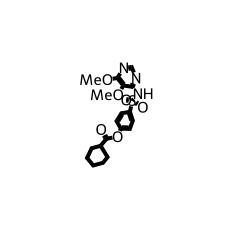 COc1ncnc(NS(=O)(=O)c2ccc(OC(=O)C3CCCCC3)cc2)c1OC